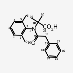 Cc1cccc(C)c1N(C(=O)Cc1ccccc1)C(C)(C)C(=O)O